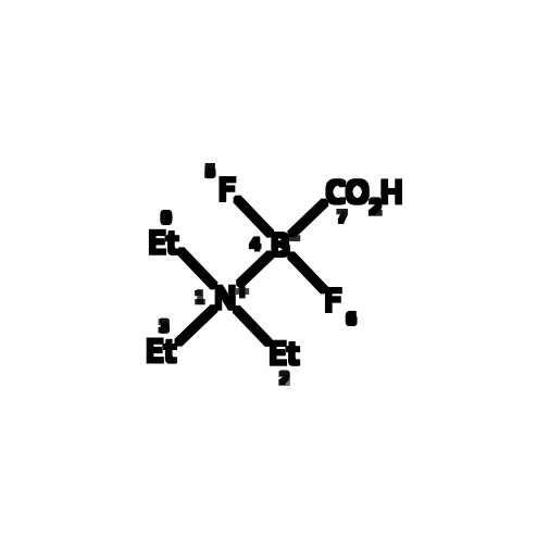 CC[N+](CC)(CC)[B-](F)(F)C(=O)O